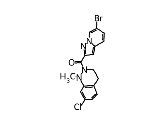 CN1c2cc(Cl)ccc2CCN1C(=O)c1cc2ccc(Br)cn2n1